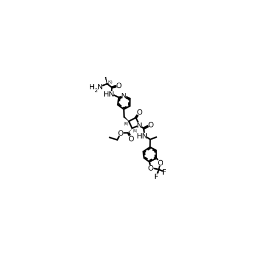 CCOC(=O)[C@@H]1[C@@H](Cc2ccnc(NC(=O)[C@H](C)N)c2)C(=O)N1C(=O)NC(C)c1ccc2c(c1)OC(F)(F)O2